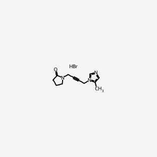 Br.Cc1cncn1CC#CCN1CCCC1=O